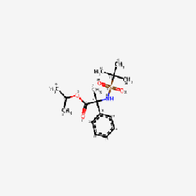 CC(C)OC(=O)C(C)(NS(=O)(=O)C(C)(C)C)c1ccccc1